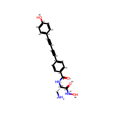 NC[C@H](NC(=O)c1ccc(C#CC#Cc2ccc(O)cc2)cc1)C(=O)NO